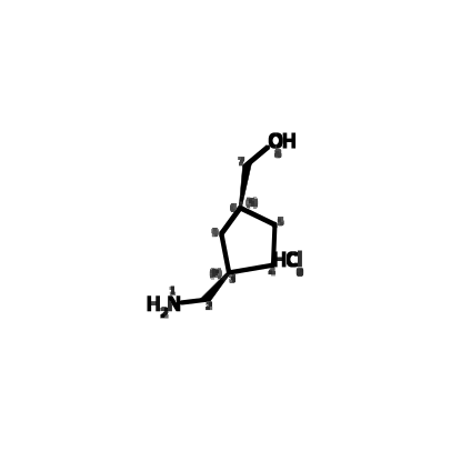 Cl.NC[C@@H]1CC[C@H](CO)C1